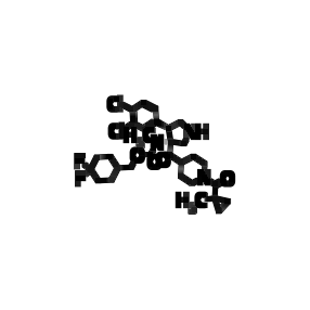 CN(C(=O)OCC1CCC(F)(F)CC1)[C@@]1(C(=O)C2CCN(C(=O)C3(C)CC3)CC2)CNC[C@@H]1c1ccc(Cl)c(Cl)c1